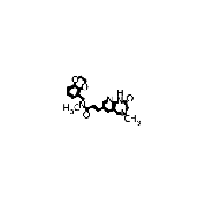 CN1CC(=O)Nc2ncc(/C=C/C(=O)N(C)Cc3cccc4c3OCCO4)cc2C1